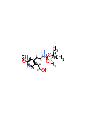 COc1cc(CCNC(=O)OC(C)(C)C)c(CCO)cn1